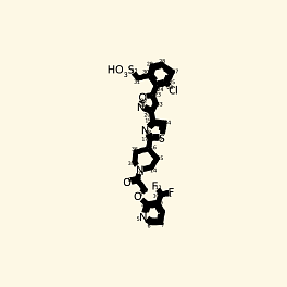 O=C(COc1ncccc1C(F)F)N1CCC(c2nc(C3=NOC(c4c(Cl)cccc4CS(=O)(=O)O)C3)cs2)CC1